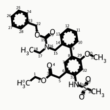 CCOC(=O)Cc1cc(-c2ccccc2CN(CC)C(=O)OCc2ccccc2)c(OC)cc1NS(C)(=O)=O